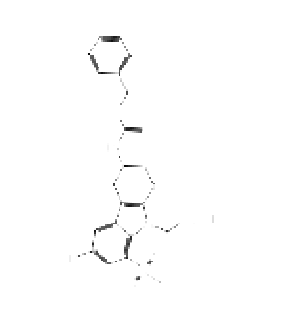 CS(=O)(=O)c1cc(F)cc2c3c(n(CC(=O)O)c12)CC[C@H](NC(=O)OCc1ccccc1)C3